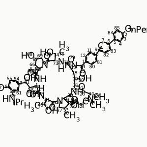 CCCCCOc1ccc(-c2ccc(-c3ccc(C(=O)N[C@H]4C[C@@H](O)[C@@H](OCC[N+](C)(C)C)NC(=O)[C@@H]5[C@@H](O)[C@@H](C)CN5C(=O)[C@H]([C@@H](C)O)NC(=O)[C@H]([C@H](O)[C@@H](O)c5ccc(O)c(NC(C)C)c5)NC(=O)[C@@H]5C[C@@H](O)CN5C(=O)[C@H]([C@@H](C)O)NC4=O)cc3)cc2)cc1